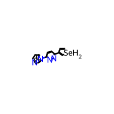 C1=CC(c2ccc(N3CCN4CCC3CC4)nn2)=C[SeH2]1